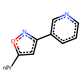 [CH2]CCc1cc(-c2cccnc2)no1